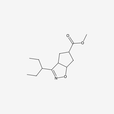 CCC(CC)C1=NOC2CC(C(=O)OC)CC12